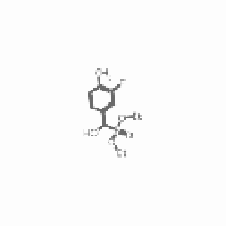 CCOP(=O)(OCC)C(O)c1ccc(C)c(F)c1